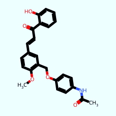 COc1ccc(C=CC(=O)c2ccccc2O)cc1COc1ccc(NC(C)=O)cc1